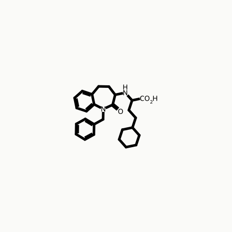 O=C(O)C(CCC1CCCCC1)NC1CCc2ccccc2N(Cc2ccccc2)C1=O